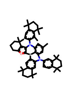 Cc1cc2c3c(c1)N(c1ccc4c(c1C)C(C)(C)CCC4(C)C)c1c(oc4c1C(C)(C)CCC4)B3c1cc3c(cc1N2c1ccc2c(c1)C(C)(C)CCC2(C)C)C(C)(C)CCC3(C)C